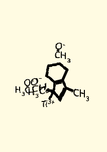 CC1=C[C](C)([Ti+3])C2=C1CCCC2.C[O-].C[O-].C[O-]